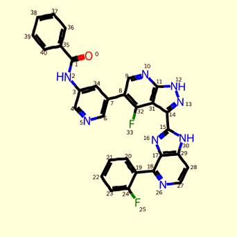 O=C(Nc1cncc(-c2cnc3[nH]nc(-c4nc5c(-c6ccccc6F)nccc5[nH]4)c3c2F)c1)c1ccccc1